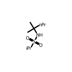 CCCC(C)(C)NS(=O)(=O)C(C)C